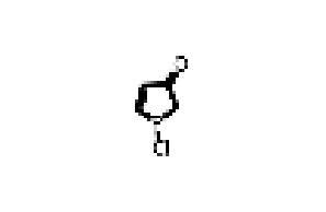 O=C1C=CP(Cl)C1